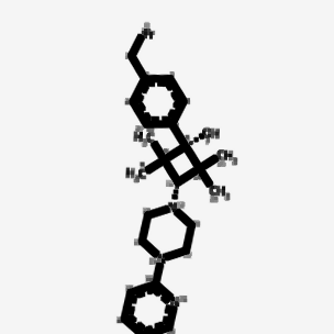 CC(C)Cc1ccc([C@]2(O)C(C)(C)[C@@H](N3CCN(c4ccccn4)CC3)C2(C)C)cc1